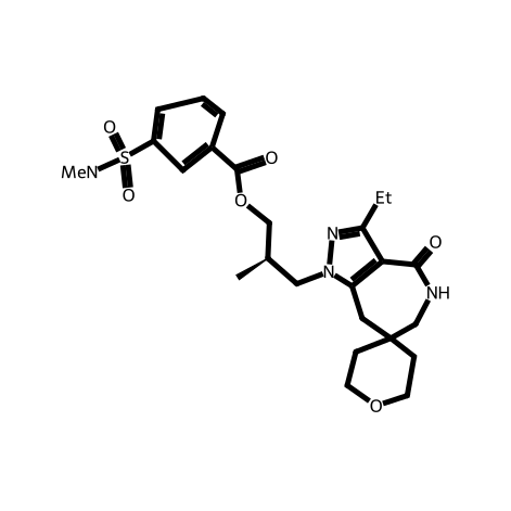 CCc1nn(C[C@@H](C)COC(=O)c2cccc(S(=O)(=O)NC)c2)c2c1C(=O)NCC1(CCOCC1)C2